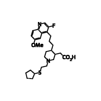 COc1ccc2ncc(F)c(CCCC3CCN(CCSC4CCCC4)CC3CC(=O)O)c2c1